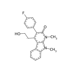 Cn1c(=O)c(-c2ccc(F)cc2)c([CH]CO)c2c3ccccc3n(C)c21